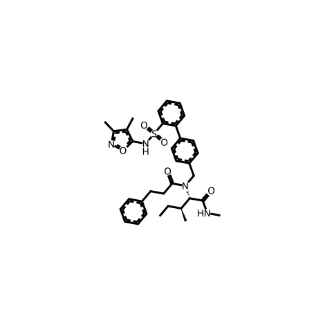 CC[C@H](C)[C@@H](C(=O)NC)N(Cc1ccc(-c2ccccc2S(=O)(=O)Nc2onc(C)c2C)cc1)C(=O)CCc1ccccc1